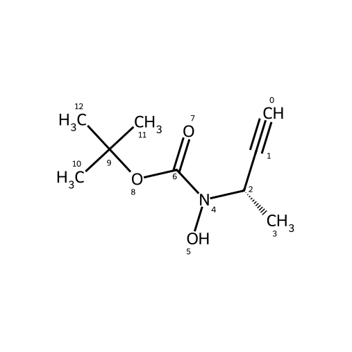 C#C[C@H](C)N(O)C(=O)OC(C)(C)C